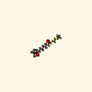 CC(C)(C)SCCCSC(=O)CCCCCCCCC(=O)C(C)(C)C